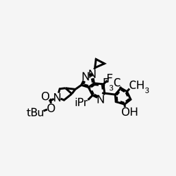 Cc1cc(O)cc(-c2nc(C(C)C)c3c(C4C5CN(C(=O)OC(C)(C)C)CC54)nn(C4CC4)c3c2F)c1C(F)(F)F